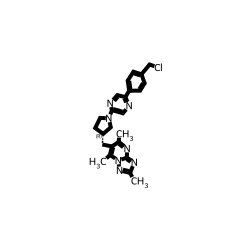 Cc1nc2nc(C)c(C[C@@H]3CCN(c4cnc(-c5ccc(CCl)cc5)cn4)C3)c(C)n2n1